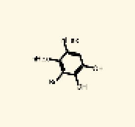 CCCCCCc1cc(O)c(O)c(Br)c1CCCCCC